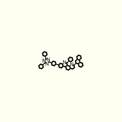 c1ccc(-c2nc(-c3ccccc3)nc(-c3ccc(-c4ccc5c(c4)nc(-c4ccccc4)c4c5ccc5ccc(-c6cc7ccccc7c7ccccc67)nc54)cc3)n2)cc1